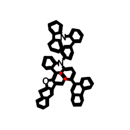 c1ccc(N(c2ccc(-c3ccccc3-n3c4ccccc4c4ccccc43)cc2)c2ccc(-c3cc4ccccc4c4ccccc34)cc2)c(-c2cccc3c2oc2cc4ccccc4cc23)c1